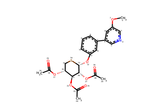 COc1cncc(-c2cccc(O[C@H]3SC[C@@H](OC(C)=O)[C@H](OC(C)=O)[C@H]3OC(C)=O)c2)c1